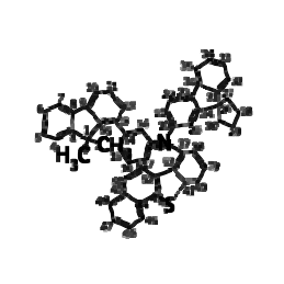 CC1(C)c2ccccc2-c2cccc(-c3cccc(N(c4ccc5c(c4)C4(CCCC4)c4ccccc4-5)c4cccc5sc6c7ccccc7ccc6c45)c3)c21